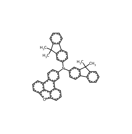 CC1(C)c2ccccc2-c2ccc(N(c3ccc4c(c3)C(C)(C)c3ccccc3-4)c3ccc4c(c3)c3cccc5oc6cccc4c6c53)cc21